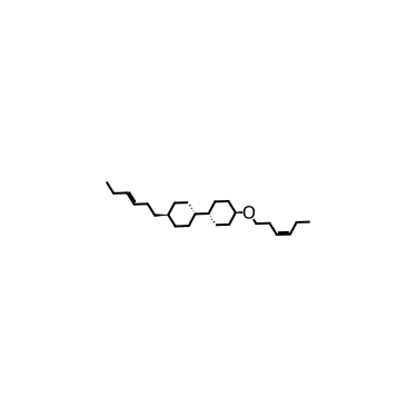 CC/C=C\CCO[C@H]1CC[C@H]([C@H]2CC[C@H](CC/C=C/CC)CC2)CC1